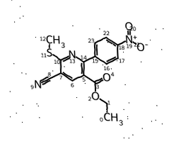 CCOC(=O)c1cc(C#N)c(SC)nc1-c1ccc([N+](=O)[O-])cc1